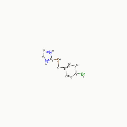 Brc1ccc(CSC2=NCC=N2)cc1